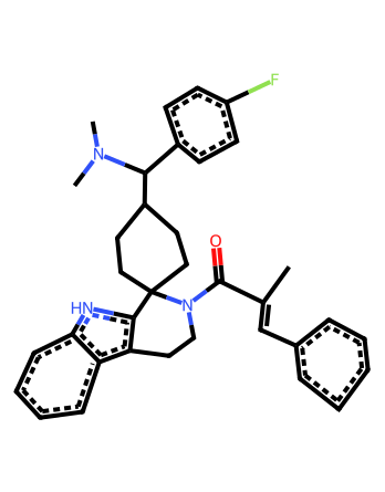 CC(=Cc1ccccc1)C(=O)N1CCc2c([nH]c3ccccc23)C12CCC(C(c1ccc(F)cc1)N(C)C)CC2